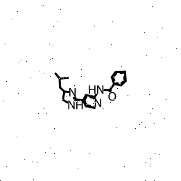 CC(C)CC1CNC(c2ccnc(NC(=O)c3ccccc3)c2)=N1